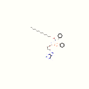 CCCCCCCCCCCCOC(=O)[C@H](Cc1ccccc1)N[P@@](=O)(OC[C@@]1(C)O[C@@H](n2cnc3c(N)nc(F)nc32)C[C@@H]1O)Oc1ccccc1